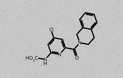 O=C(O)Nc1cc(Cl)cc(C(=O)N2CCc3ccccc3C2)n1